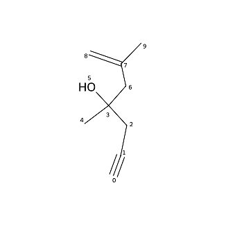 C#CCC(C)(O)CC(=C)C